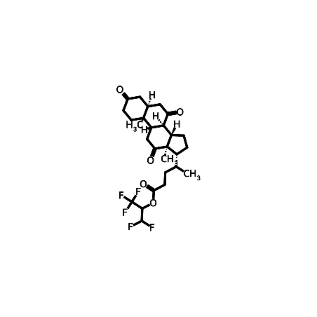 CC(CCC(=O)OC(C(F)F)C(F)(F)F)[C@H]1CC[C@H]2[C@@H]3C(=O)C[C@@H]4CC(=O)CC[C@]4(C)[C@H]3CC(=O)[C@]12C